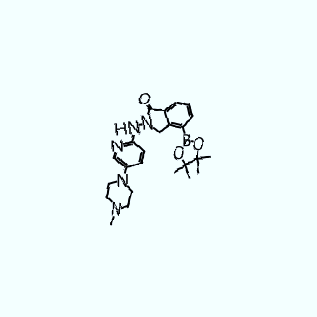 CN1CCN(c2ccc(NN3Cc4c(B5OC(C)(C)C(C)(C)O5)cccc4C3=O)nc2)CC1